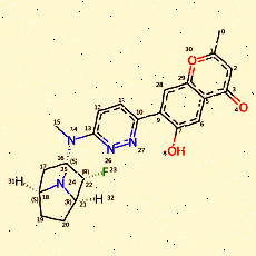 Cc1cc(=O)c2cc(O)c(-c3ccc(N(C)[C@H]4C[C@@H]5CC[C@H]([C@H]4F)N5C)nn3)cc2o1